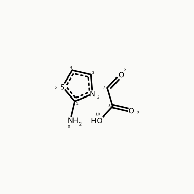 Nc1nccs1.O=CC(=O)O